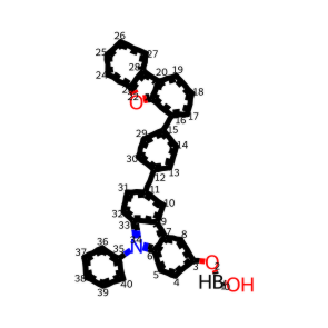 OBOc1ccc2c(c1)c1cc(-c3ccc(-c4cccc5c4oc4ccccc45)cc3)ccc1n2-c1ccccc1